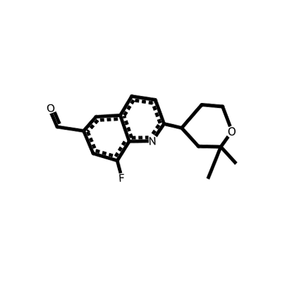 CC1(C)CC(c2ccc3cc(C=O)cc(F)c3n2)CCO1